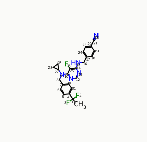 CC(F)(F)c1ccc(CN(c2ncnc(NCc3ccc(C#N)cc3)c2F)C2CC2)cc1